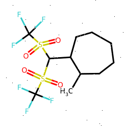 CC1CCCCCC1C(S(=O)(=O)C(F)(F)F)S(=O)(=O)C(F)(F)F